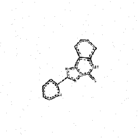 S=c1[nH]c2ccccc2c2nc(-c3ccccn3)nn12